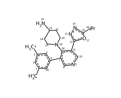 Cc1cc(C)cc(-c2cncc(-c3nnc(C(C)C)o3)c2N2CCC(N)CC2)c1